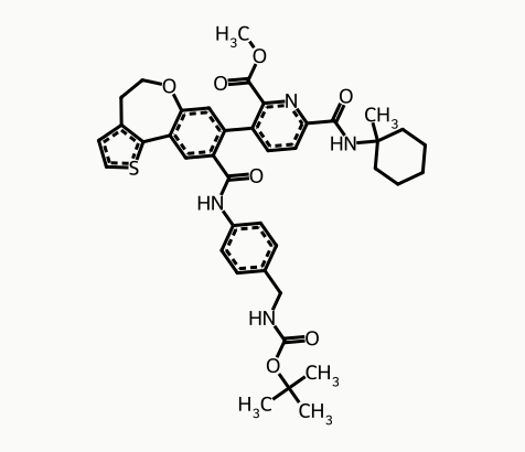 COC(=O)c1nc(C(=O)NC2(C)CCCCC2)ccc1-c1cc2c(cc1C(=O)Nc1ccc(CNC(=O)OC(C)(C)C)cc1)-c1sccc1CCO2